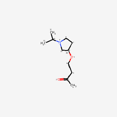 CC(=O)CCO[C@@H]1CCN(C(C)C)C1